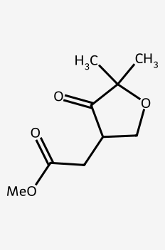 COC(=O)CC1COC(C)(C)C1=O